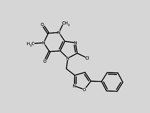 Cn1c(=O)c2c(nc(Cl)n2Cc2cc(-c3ccccc3)on2)n(C)c1=O